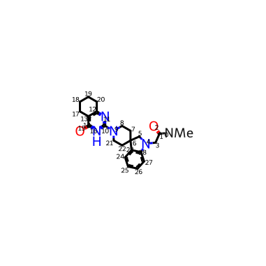 CNC(=O)CN1CC2(CCN(c3nc4c(c(=O)[nH]3)CCCC4)CC2)c2ccccc21